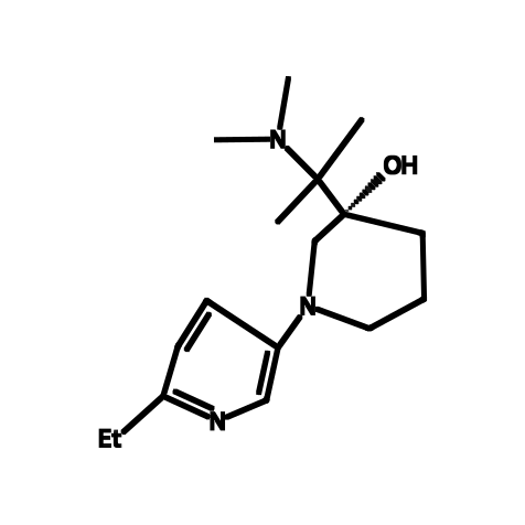 CCc1ccc(N2CCC[C@](O)(C(C)(C)N(C)C)C2)cn1